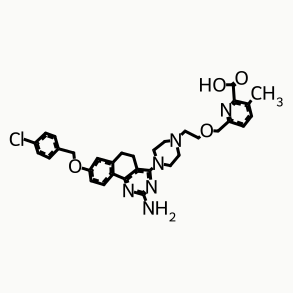 Cc1ccc(COCCN2CCN(c3nc(N)nc4c3CCc3cc(OCc5ccc(Cl)cc5)ccc3-4)CC2)nc1C(=O)O